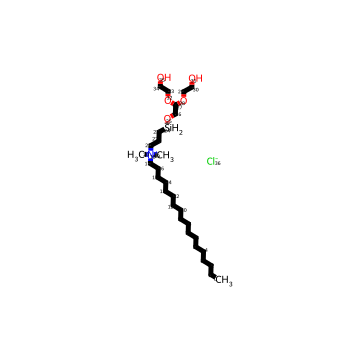 CCCCCCCCCCCCCCCCCC[N+](C)(C)CCC[SiH2]OCC(OCCO)OCCO.[Cl-]